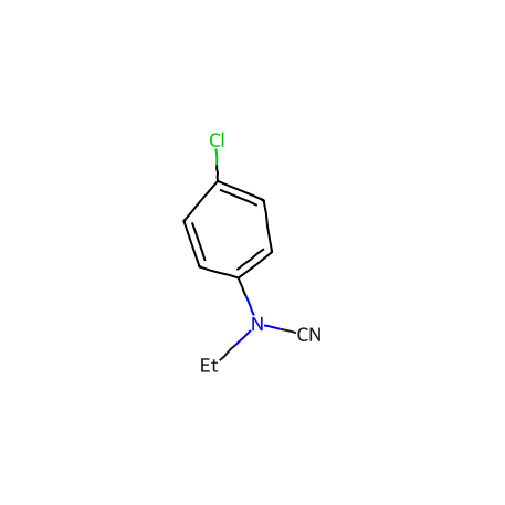 CCN(C#N)c1ccc(Cl)cc1